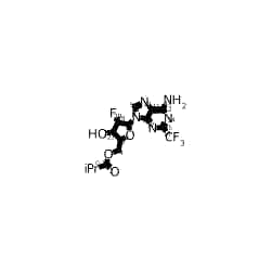 CC(C)C(=O)OCC1OC(n2cnc3c(N)nc(C(F)(F)F)nc32)C(F)C1O